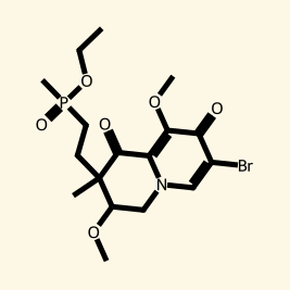 CCOP(C)(=O)CCC1(C)C(=O)c2c(OC)c(=O)c(Br)cn2CC1OC